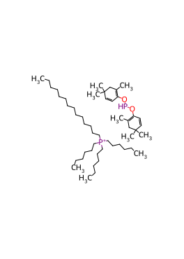 CC1=C(OPOC2=C(C)CC(C)(C)C=C2)C=CC(C)(C)C1.CCCCCCCCCCCCCC[P+](CCCCCC)(CCCCCC)CCCCCC